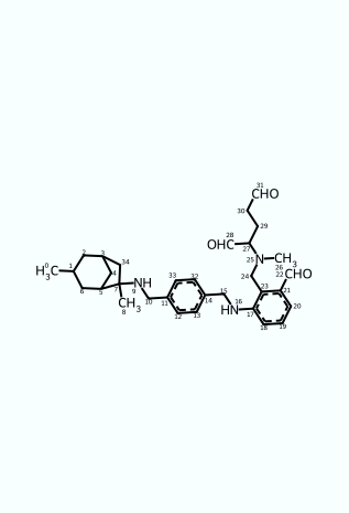 CC1CC2CC(C1)C(C)(NCc1ccc(CNc3cccc(C=O)c3CN(C)C(C=O)CCC=O)cc1)C2